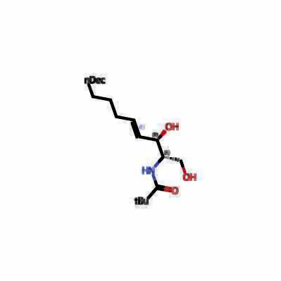 CCCCCCCCCCCCC/C=C/[C@@H](O)[C@H](CO)NC(=O)C(C)(C)C